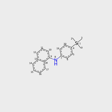 C[Si](C)(C)c1ccc(Nc2cccc3ccccc23)cc1